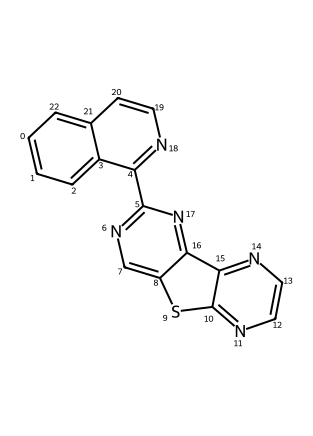 c1ccc2c(-c3ncc4sc5nccnc5c4n3)nccc2c1